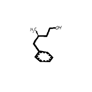 C[C@@H](CCO)Cc1ccccc1